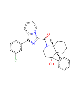 O=C(c1nc(-c2cccc(Cl)c2)c2ccccn12)N1CCC(O)(c2ccccc2)[C@H]2CCCC[C@H]21